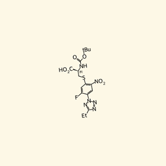 CCc1nnn(-c2cc([N+](=O)[O-])c(SC[C@H](NC(=O)OC(C)(C)C)C(=O)O)cc2F)n1